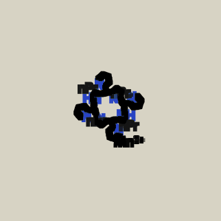 CCCN1C=CC=CC1c1c2nc(c(C3C=CC=CN3CCC)c3ccc([nH]3)c(C3C=CC=CN3CCC)c3nc(c(C4C=CC=CN4CCC)c4ccc1[nH]4)C=C3)C=C2.[Mn+3]